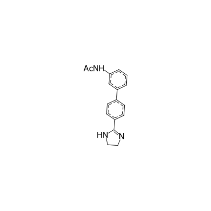 CC(=O)Nc1cccc(-c2ccc(C3=NCCN3)cc2)c1